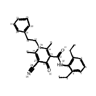 CCc1cccc(CC)c1NC(=O)c1c(C)n(CCc2ccccc2)c(C)c(C#N)c1=O